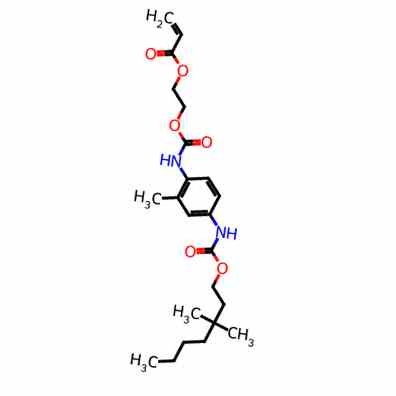 C=CC(=O)OCCOC(=O)Nc1ccc(NC(=O)OCCC(C)(C)CCCC)cc1C